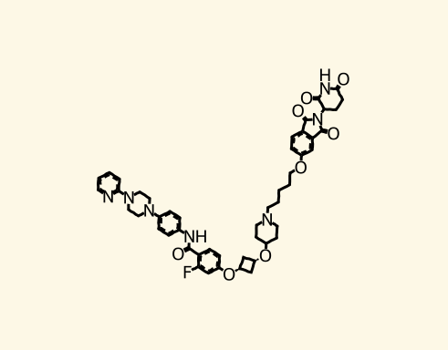 O=C1CCC(N2C(=O)c3ccc(OCCCCCN4CCC(O[C@H]5C[C@H](Oc6ccc(C(=O)Nc7ccc(N8CCN(c9ccccn9)CC8)cc7)c(F)c6)C5)CC4)cc3C2=O)C(=O)N1